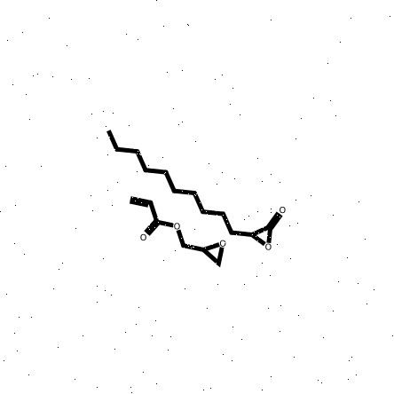 C=CC(=O)OCC1CO1.CCCCCCCCCCC1OC1=O